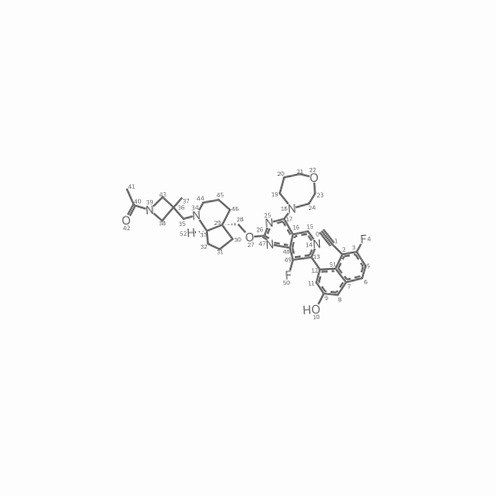 C#Cc1c(F)ccc2cc(O)cc(-c3ncc4c(N5CCCOCC5)nc(OC[C@]56CCC[C@H]5N(CC5(C)CN(C(C)=O)C5)CCC6)nc4c3F)c12